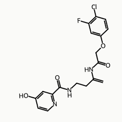 C=C(CCNC(=O)c1cc(O)ccn1)NC(=O)COc1ccc(Cl)c(F)c1